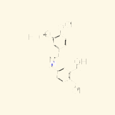 COc1ccc(C/N=C\c2ccc(CO)c(CO)c2)cc1OC